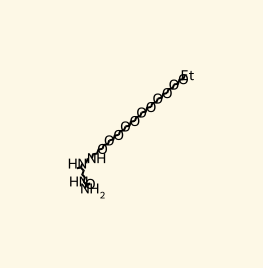 CCOCCOCCOCCOCCOCCOCCOCCOCCOCCOCCOCCCNCCNC(C)CCCNC(N)=O